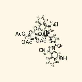 CC(=O)OC[C@H]1OC(Oc2cc3c(c4ccccc24)[C@H](CCl)CN3C(=O)c2ccc(C(=O)N3C[C@@H](CCl)c4c3cc(O)c3ccccc43)s2)[C@H](OC(C)=O)C(OC(C)=O)[C@H]1OC(C)=O